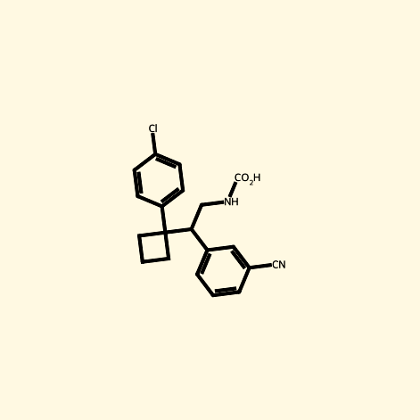 N#Cc1cccc(C(CNC(=O)O)C2(c3ccc(Cl)cc3)CCC2)c1